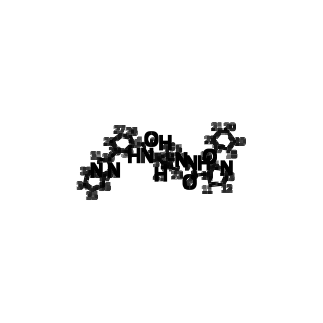 O=C(N[C@@H]1[C@@H]2CN(NC(=O)c3cccnc3Oc3ccccc3)C[C@@H]21)c1cccc(-c2cn3ccccc3n2)c1